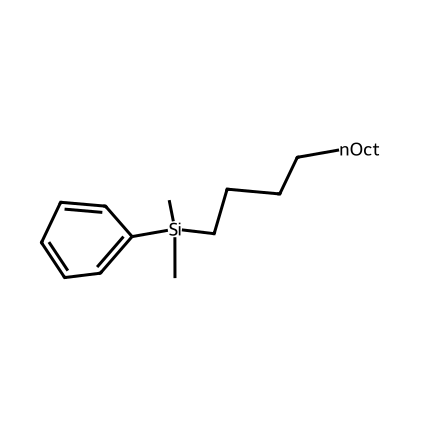 [CH2]CCCCCCCCCCC[Si](C)(C)c1ccccc1